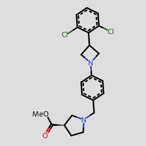 COC(=O)[C@@H]1CCN(Cc2ccc(N3CC(c4c(Cl)cccc4Cl)C3)cc2)C1